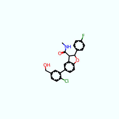 CNC(=O)C1c2cc(-c3cc(CO)ccc3Cl)ccc2OC1c1ccc(F)cc1